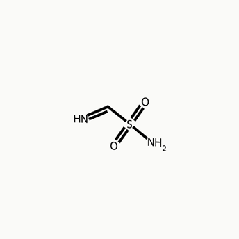 N=CS(N)(=O)=O